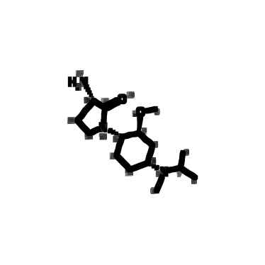 CO[C@H]1C[C@H](N(C)C(C)C)CC[C@@H]1N1CC[C@H](N)C1=O